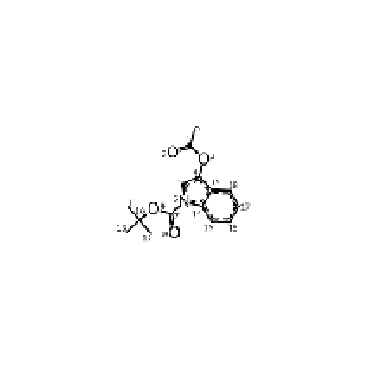 CC(=O)Oc1cn(C(=O)OC(C)(C)C)c2ccccc12